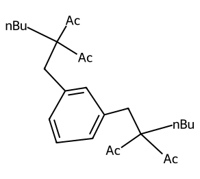 CCCCC(Cc1cccc(CC(CCCC)(C(C)=O)C(C)=O)c1)(C(C)=O)C(C)=O